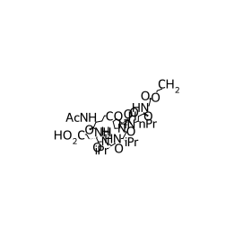 C=CCOC(=O)CNC(=O)C(=O)C(CCC)NC(=O)[C@@H]1CCCN1C(=O)[C@@H](NC(=O)[C@@H](NC(=O)[C@H](CCC(=O)O)NC(=O)[C@H](CCC(=O)O)NC(C)=O)C(C)C)C(C)C